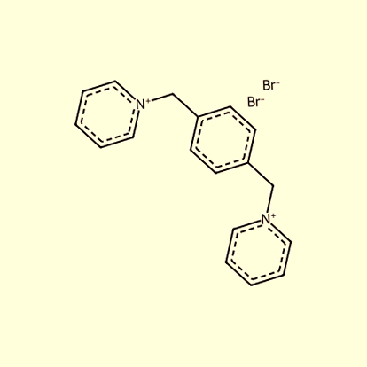 [Br-].[Br-].c1cc[n+](Cc2ccc(C[n+]3ccccc3)cc2)cc1